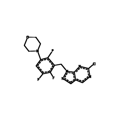 Fc1cc(N2CCOCC2)c(F)c(Cn2ncc3cnc(Cl)nc32)c1F